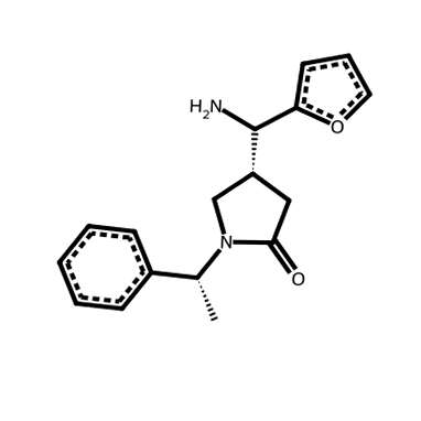 C[C@H](c1ccccc1)N1C[C@H](C(N)c2ccco2)CC1=O